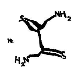 NC(=S)C(N)=S.[N]